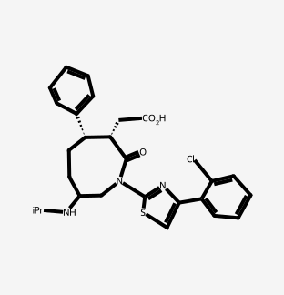 CC(C)NC1CC[C@H](c2ccccc2)[C@H](CC(=O)O)C(=O)N(c2nc(-c3ccccc3Cl)cs2)C1